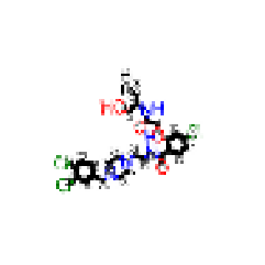 CCC(CO)NC(=O)COc1cc(Cl)ccc1C(=O)NCCN1CCN(Cc2ccc(Cl)c(Cl)c2)CC1